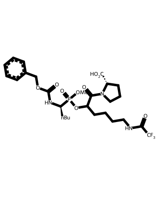 CCCC[C@@H](NC(=O)OCc1ccccc1)P(=O)(OC)OC(CCCCNC(=O)C(F)(F)F)C(=O)N1CCC[C@H]1C(=O)O